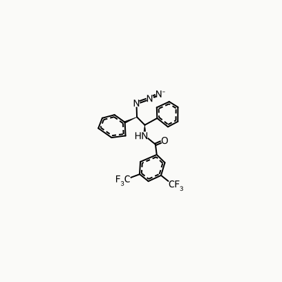 [N-]=[N+]=N[C@H](c1ccccc1)[C@H](NC(=O)c1cc(C(F)(F)F)cc(C(F)(F)F)c1)c1ccccc1